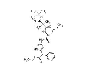 CCCC[C@@H](NC(=O)C(C)(C)N(C=O)OC(C)(C)C)C(=O)Nc1c[nH]c(C(C(=O)OCC)c2ccccc2)n1